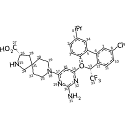 CC(C)c1cccc(-c2cc(Cl)ccc2[C@@H](Oc2cc(N3CCC4(CC3)CN[C@H](C(=O)O)C4)nc(N)n2)C(F)(F)F)c1